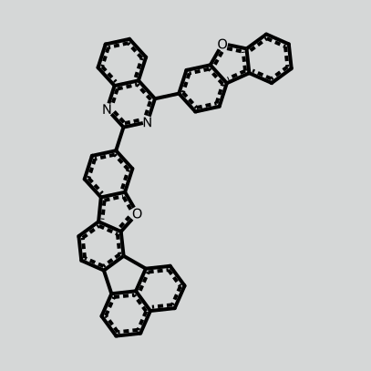 c1cc2c3c(cccc3c1)-c1c-2ccc2c1oc1cc(-c3nc(-c4ccc5c(c4)oc4ccccc45)c4ccccc4n3)ccc12